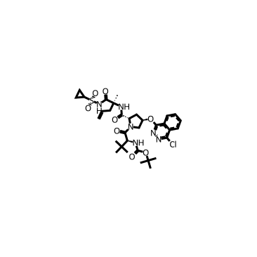 C=CC[C@](C)(NC(=O)[C@@H]1C[C@@H](Oc2nnc(Cl)c3ccccc23)CN1C(=O)[C@@H](NC(=O)OC(C)(C)C)C(C)(C)C)C(=O)NS(=O)(=O)C1CC1